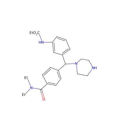 CCOC(=O)Nc1cccc(C(c2ccc(C(=O)N(CC)CC)cc2)N2CCNCC2)c1